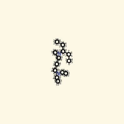 c1ccc(-c2cccc(-c3cc(-c4cccc(-c5ccccc5)c4)cc(-n4c5ccccc5c5cc(-c6ccc(-c7cccc(N(c8ccc9ccccc9c8)c8ccc9ccccc9c8)c7)cc6)ccc54)c3)c2)cc1